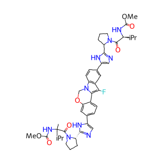 COC(=O)N[C@H](C(=O)N1CCCC1c1ncc(-c2ccc3c(c2)c(F)c2n3COc3cc(-c4cnc([C@@H]5CCCN5C(=O)C(C)(NC(=O)OC)C(C)C)[nH]4)ccc3-2)[nH]1)C(C)C